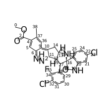 COC(=O)C1=CC(=N/N)/C(=C2\C[C@@H]3[C@H](C2)N[C@@]2(C(=O)Nc4cc(Cl)ccc42)[C@H]3c2cccc(Cl)c2F)C=C1C